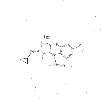 CC(=O)N(c1ccc(C)cc1F)C1CSC(=NC2CC2)N1C.Cl